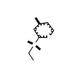 [O]CS(=O)(=O)c1cc(=O)cc[nH]1